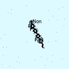 C/C=C/C1COC(c2ccc(-c3ccc(-c4ccc(OCCCCCCCCC)c(F)c4F)cc3)cc2F)OC1